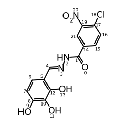 O=C(N/N=C/c1ccc(O)c(O)c1O)c1ccc(Cl)c([N+](=O)[O-])c1